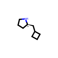 C1CC(C[C@H]2CCCN2)C1